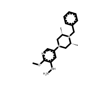 COc1ncc(N2C[C@@H](C)N(Cc3ccccc3)[C@@H](C)C2)cc1NN